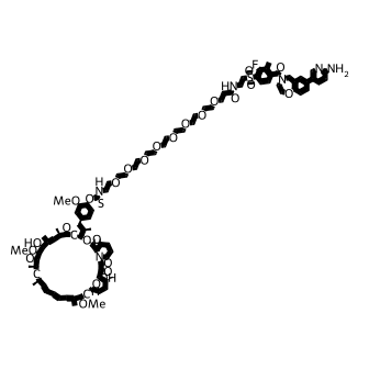 CO[C@H]1C[C@@H]2CC[C@@H](C)[C@@](O)(O2)C(=O)C(=O)N2CCCC[C@H]2C(=O)O[C@H]([C@H](C)C[C@@H]2CC[C@@H](OC(=S)NCCOCCOCCOCCOCCOCCOCCOCCOCCC(=O)NCCS(=O)(=O)c3ccc(C(=O)N4CCOc5ccc(-c6ccc(N)nc6)cc5C4)c(C)c3F)[C@H](OC)C2)CC(=O)[C@H](C)/C=C(\C)[C@@H](O)[C@@H](OC)C(=O)[C@H](C)C[C@H](C)/C=C/C=C/C=C/1C